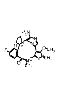 COc1c2c(nn1C)CN(C)C(=O)c1ccc(F)cc1[C@H]1CCCN1c1nc-2cnc1N